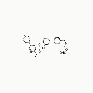 CN(COC=O)Cc1ccc(-c2cncc(NS(=O)(=O)c3cc(N4CCOCC4)cnc3N(C)C)c2)cc1